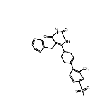 CS(=O)(=O)c1ccc(C2=CCC(c3[nH]c(=O)[nH]c(=O)c3Cc3ccccc3)CC2)c(C(F)(F)F)c1